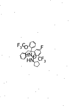 O=C(NC1CCCC1)NC(Cc1ccccc1)(c1cc(F)cc(C(F)(F)F)c1)c1ccccc1OC(F)(F)F